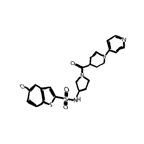 O=C(C1CCN(c2ccncc2)CC1)N1CCC(NS(=O)(=O)c2cc3cc(Cl)ccc3s2)C1